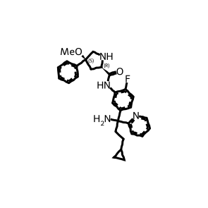 CO[C@@]1(c2ccccc2)CN[C@@H](C(=O)Nc2cc(C(N)(CCC3CC3)c3ccccn3)ccc2F)C1